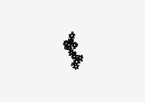 CC1(C)c2ccccc2-c2cc3c4ccccc4n(-c4ccc5c(c4)oc4cc(-c6ccc7c(c6)oc6cccc(-c8nc(-c9ccccc9)nc(-c9ccccc9)n8)c67)ccc45)c3cc21